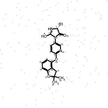 CC[C@H]1NC(O)N(c2ccc(Oc3cccc4c3CC(C)(C)O4)nc2)C1=O